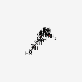 CC(C)(COP(=O)(O)OP(=O)(O)OCC1OC(C)(n2cnc3c(N)ncnc32)C(O)C1OP(=O)(O)O)C(O)C(=O)NCCC(=O)NCCSCC(=O)NCCCN1CCNCC1